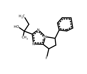 CCC(C)(O)c1nc2n(n1)C(c1ccccc1)CC2F